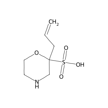 C=CCC1(S(=O)(=O)O)CNCCO1